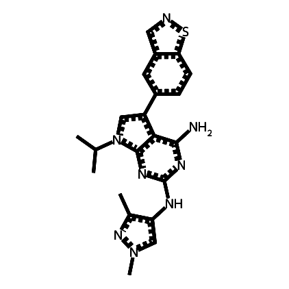 Cc1nn(C)cc1Nc1nc(N)c2c(-c3ccc4sncc4c3)cn(C(C)C)c2n1